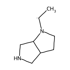 C[CH]N1CCC2CNCC21